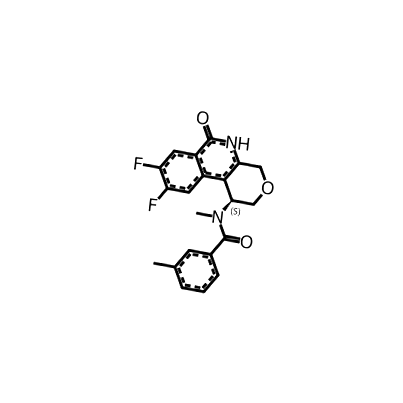 Cc1cccc(C(=O)N(C)[C@@H]2COCc3[nH]c(=O)c4cc(F)c(F)cc4c32)c1